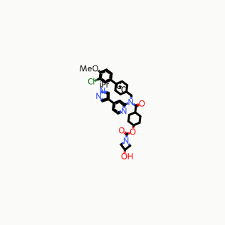 COc1ccc(C23CCC(CN(C(=O)C4CCC(OC(=O)N5CC(O)C5)CC4)c4cc(-c5cnn(C(C)C)c5)ccn4)(CC2)CC3)cc1Cl